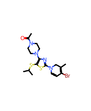 CC(=O)N1CCN(c2nc(N3C=CC(Br)=C(C)C3)sc2SC(C)C)CC1